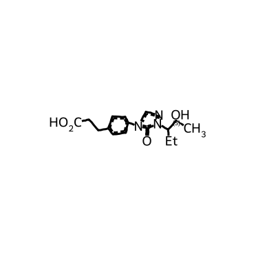 CCC([C@H](C)O)n1ncn(-c2ccc(CCC(=O)O)cc2)c1=O